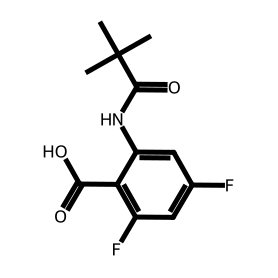 CC(C)(C)C(=O)Nc1cc(F)cc(F)c1C(=O)O